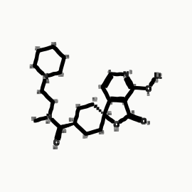 CCOc1nccc2c1C(=O)O[C@]21CC[C@H](C(=O)N(C)CCN2CCCCC2)CC1